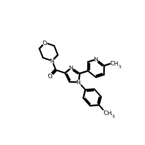 Cc1ccc(-n2cc(C(=O)N3CCOCC3)nc2-c2ccc(C)nc2)cc1